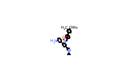 COc1ccc(C23CCC(CN(c4cccc(-c5cnn(C6CC6)c5)c4)C(=O)[C@H]4CC[C@H](N)CC4)(CC2)CC3)cc1C